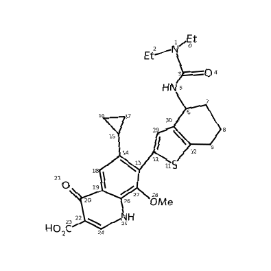 CCN(CC)C(=O)NC1CCCc2sc(-c3c(C4CC4)cc4c(=O)c(C(=O)O)c[nH]c4c3OC)cc21